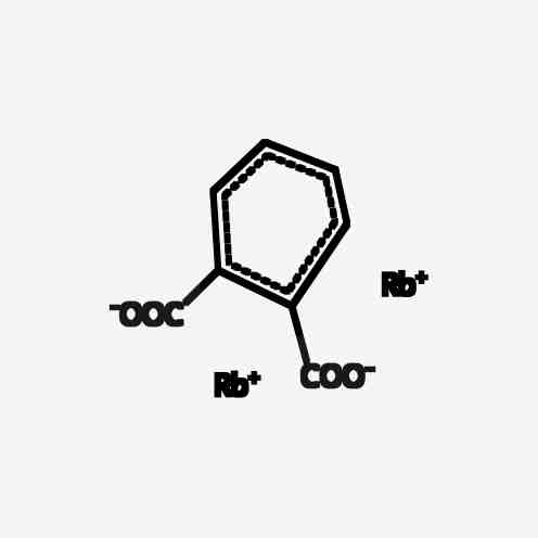 O=C([O-])c1ccccc1C(=O)[O-].[Rb+].[Rb+]